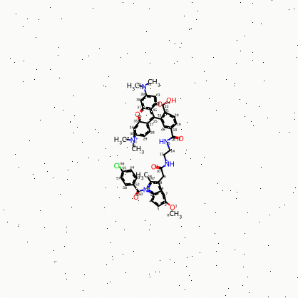 COc1ccc2c(c1)c(CC(=O)NCCNC(=O)c1ccc(C(=O)O)c(-c3c4ccc(=[N+](C)C)cc-4oc4cc(N(C)C)ccc34)c1)c(C)n2C(=O)c1ccc(Cl)cc1